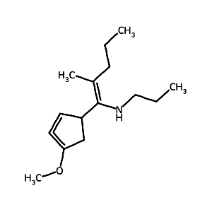 CCCN/C(=C(/C)CCC)C1C=C=C(OC)C1